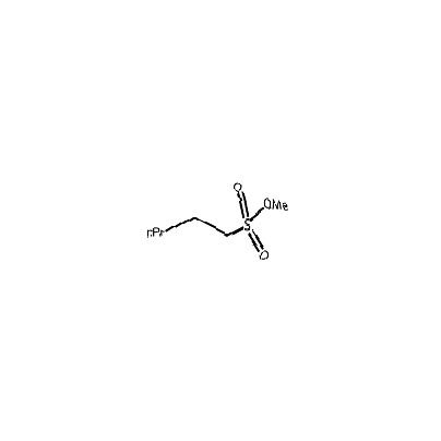 CCCCCS(=O)(=O)OC